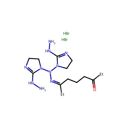 Br.Br.CCC(=O)CCCC(CC)=NN(N1CCN=C1NN)N1CCN=C1NN